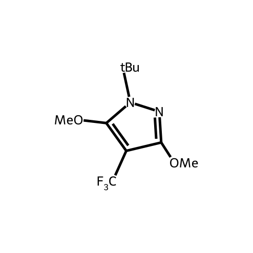 COc1nn(C(C)(C)C)c(OC)c1C(F)(F)F